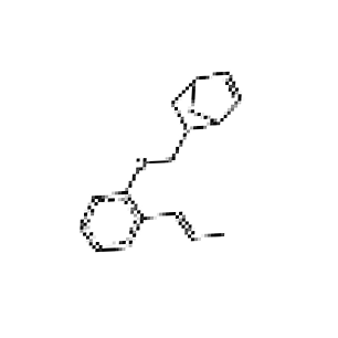 CC=Cc1ccccc1OCC1CC2C=CC1C2